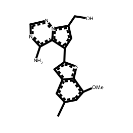 COc1cc(C)cc2cc(-c3cc(CO)n4ncnc(N)c34)sc12